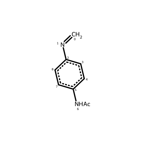 C=Nc1ccc(NC(C)=O)cc1